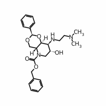 CN(C)CCN[C@@H]1[C@@H]2O[C@H](c3ccccc3)OC[C@H]2N(C(=O)OCc2ccccc2)C[C@H]1O